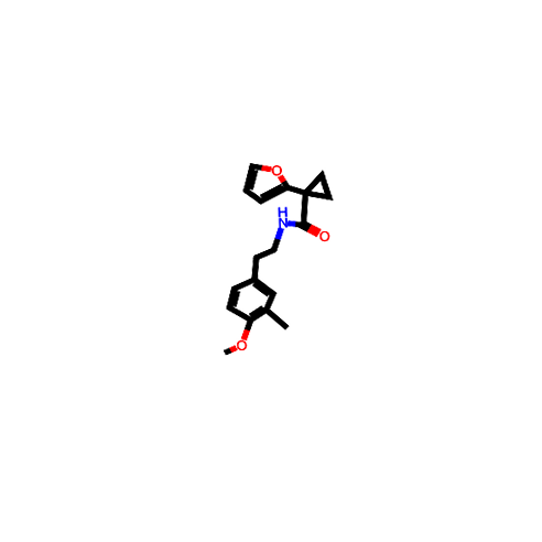 COc1ccc(CCNC(=O)C2(c3ccco3)CC2)cc1C